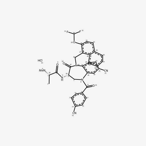 CN[C@@H](C)C(=O)N[C@H]1CN(C(=O)c2ccc(C#N)cc2)c2cc(C#N)ccc2N(Cc2c(OC(F)F)ccc3ccccc23)C1=O.Cl